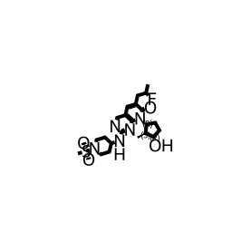 CC(F)Cc1cc2cnc(NC3CCN(S(C)(=O)=O)CC3)nc2n([C@@H]2CC[C@@H](O)[C@H]2C)c1=O